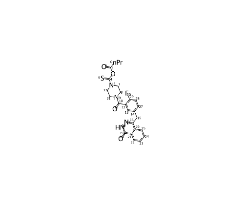 CCCC(=O)OC(=S)N1CCN(C(=O)c2cc(Cc3n[nH]c(=O)c4ccccc34)ccc2F)CC1